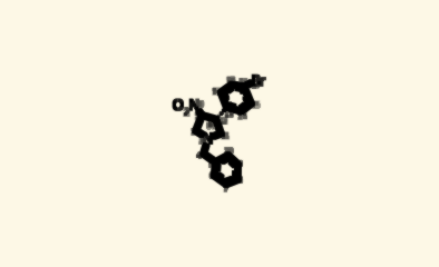 O=[N+]([O-])C1CN(Cc2ccccc2)C[C@H]1c1ccc(Br)cc1